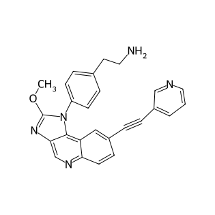 COc1nc2cnc3ccc(C#Cc4cccnc4)cc3c2n1-c1ccc(CCN)cc1